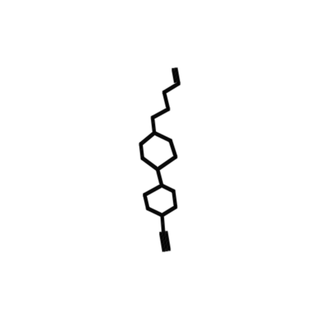 C#CC1CCC(C2CCC(CCCC=C)CC2)CC1